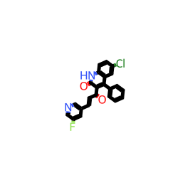 O=C(C=Cc1cncc(F)c1)c1c(-c2ccccc2)c2cc(Cl)ccc2[nH]c1=O